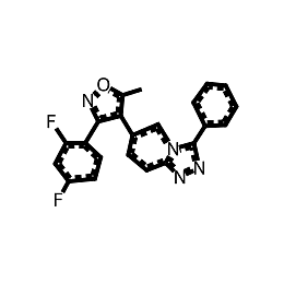 Cc1onc(-c2ccc(F)cc2F)c1-c1ccc2nnc(-c3ccccc3)n2c1